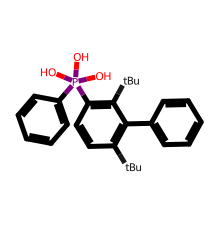 CC(C)(C)c1ccc(P(O)(O)(O)c2ccccc2)c(C(C)(C)C)c1-c1ccccc1